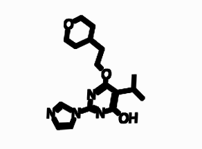 CC(C)c1c(O)nc(-n2ccnc2)nc1OCCC1CCOCC1